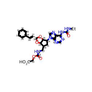 CCNC(=O)Nc1ncnc2c1ncn2C1CC(CNC(=O)OCC(=O)O)C2O[C@H](/C=C/c3ccccc3)OC21